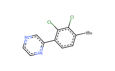 CC(C)(C)c1ccc(-c2cnccn2)c(Cl)c1Cl